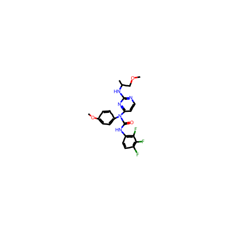 COCC(C)Nc1nccc(N(C(=O)Nc2ccc(F)c(F)c2F)c2ccc(OC)cc2)n1